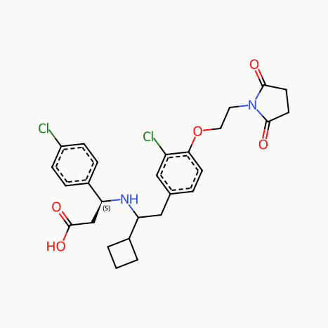 O=C(O)C[C@H](NC(Cc1ccc(OCCN2C(=O)CCC2=O)c(Cl)c1)C1CCC1)c1ccc(Cl)cc1